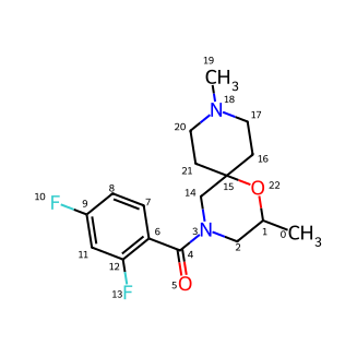 CC1CN(C(=O)c2ccc(F)cc2F)CC2(CCN(C)CC2)O1